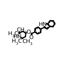 CC1(C)CC(OC(=O)c2ccc(-c3cc4ccccc4[nH]3)cc2)CC(C)(C)N1